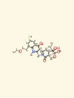 CCOCCc1cc(F)cc2c(=O)c3c(n(C)c12)Cn1c-3cc2c(c1=O)COC(=O)[C@]2(O)CC